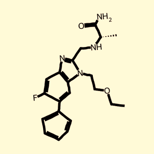 CCOCCn1c(CN[C@@H](C)C(N)=O)nc2cc(F)c(-c3ccccc3)cc21